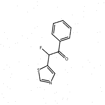 O=C(c1ccccc1)C(F)c1cncs1